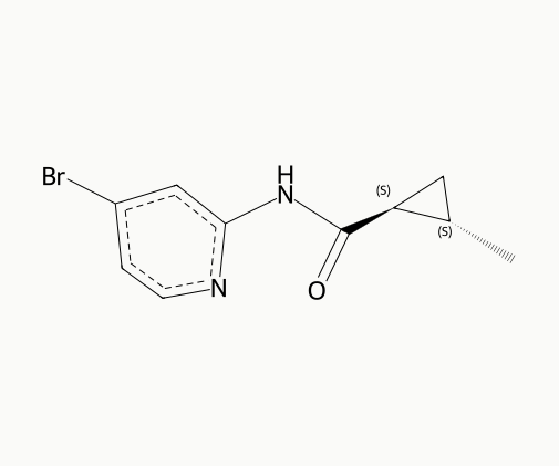 C[C@H]1C[C@@H]1C(=O)Nc1cc(Br)ccn1